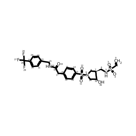 C=CS(=O)(=O)NC[C@@H]1CN(S(=O)(=O)c2ccc(CC(=O)NCc3ccc(C(F)(F)F)cc3)cc2)C[C@H]1O